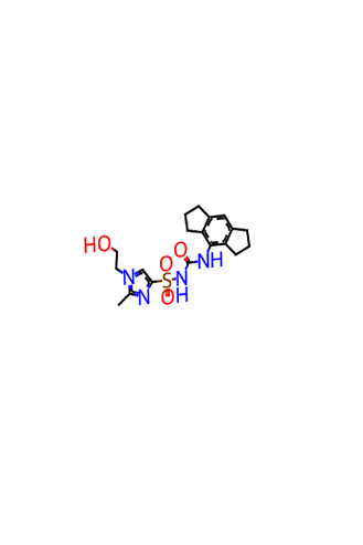 Cc1nc(S(=O)(=O)NC(=O)Nc2c3c(cc4c2CCC4)CCC3)cn1CCO